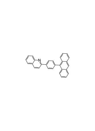 c1ccc2nc(-c3ccc(-c4c5ccccc5cc5ccccc45)cc3)ccc2c1